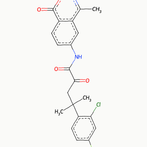 Cc1noc(=O)c2ccc(NC(=O)C(=O)CC(C)(C)c3ccc(F)cc3Cl)cc12